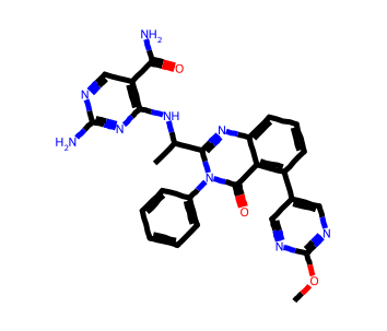 COc1ncc(-c2cccc3nc(C(C)Nc4nc(N)ncc4C(N)=O)n(-c4ccccc4)c(=O)c23)cn1